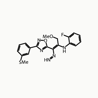 COC/C(Nc1ccccc1F)=C(/N=N)c1nc(-c2cccc(SC)c2)no1